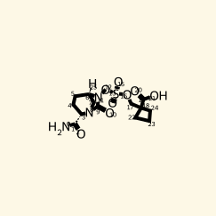 NC(=O)[C@@H]1CC[C@@H]2CN1C(=O)N2OS(=O)(=O)OCC1(C(=O)O)CCC1